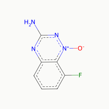 Nc1nc2cccc(F)c2[n+]([O-])n1